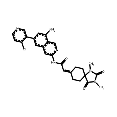 CN1C(=O)N(C)C2(CCC(=CC(=O)Nc3cc4cc(-c5cnccc5Cl)cc(N)c4cn3)CC2)C1=O